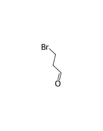 O=CCCBr